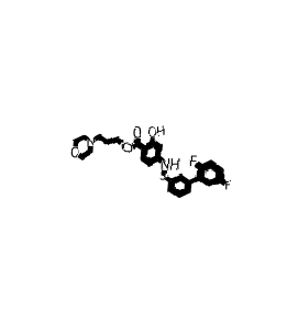 O=C(OCCCN1CCOCC1)c1ccc(NSc2cccc(-c3cc(F)ccc3F)c2)cc1O